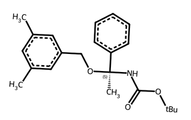 Cc1cc(C)cc(CO[C@](C)(NC(=O)OC(C)(C)C)c2ccccc2)c1